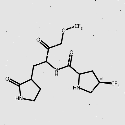 O=C1NCCC1CC(NC(=O)C1C[C@@H](C(F)(F)F)CN1)C(=O)COC(F)(F)F